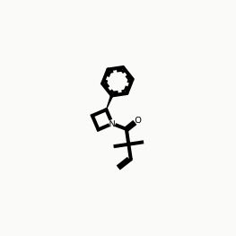 C=CC(C)(C)C(=O)N1CC[C@H]1c1ccccc1